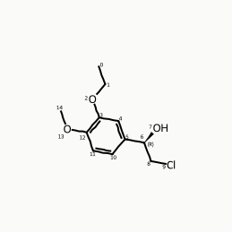 CCOc1cc([C@@H](O)CCl)ccc1OC